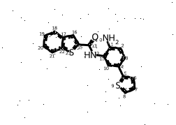 Nc1ccc(-c2cccs2)cc1NC(=O)c1cc2ccccc2s1